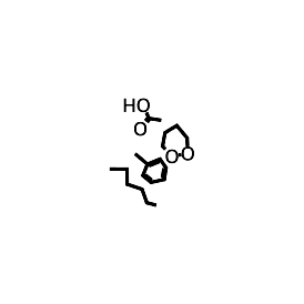 C1CCOOC1.CC(=O)O.CCCCCC.Cc1ccccc1